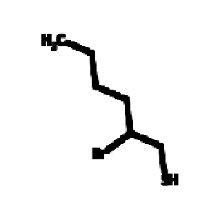 CCCCC(Br)CS